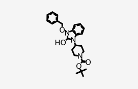 CC(C)(C)OC(=O)N1CCC(N2c3ccccc3N(OCc3ccccc3)C2O)CC1